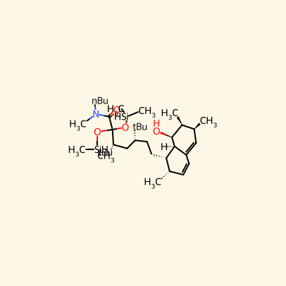 CCCCN(C)C(=O)C(O[SiH](C)C)(O[SiH](C)C)[C@H](C[C@@H](CC[C@@H]1[C@@H]2C(=C[C@H](C)[C@H](C)[C@@H]2O)C=C[C@@H]1C)C(C)(C)C)C(C)(C)C